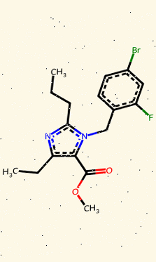 CCCc1nc(CC)c(C(=O)OC)n1Cc1ccc(Br)cc1F